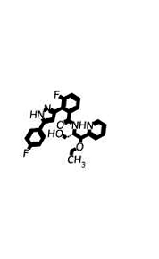 CCOC(c1ccccn1)[C@H](CO)NC(=O)c1cccc(F)c1-c1cc(-c2ccc(F)cc2)[nH]n1